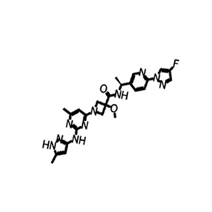 COC1(C(=O)N[C@@H](C)c2ccc(-n3cc(F)cn3)nc2)CN(c2cc(C)nc(Nc3cc(C)[nH]n3)n2)C1